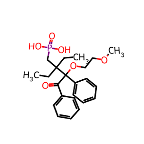 CCC(CC)(CP(=O)(O)O)C(OCCOC)(C(=O)c1ccccc1)c1ccccc1